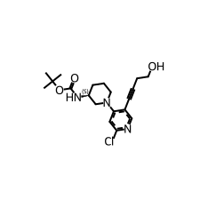 CC(C)(C)OC(=O)N[C@H]1CCCN(c2cc(Cl)ncc2C#CCCO)C1